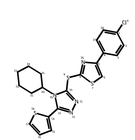 Clc1ccc(-c2csc(Sc3nnc(-c4cccs4)n3C3CCCCC3)n2)cc1